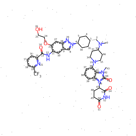 CN(C[C@H]1CC[C@H](n2cc3cc(NC(=O)c4cccc(C(F)(F)F)n4)c(OCCO)cc3n2)CC1)C1CCN(c2cccc3c2n(C)c(=O)n3C2CCC(=O)NC2=O)CC1